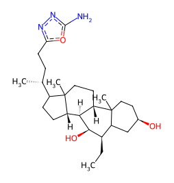 CC[C@@H]1C2C[C@H](O)CCC2(C)[C@H]2CCC3(C)C([C@H](C)CCc4nnc(N)o4)CC[C@H]3[C@@H]2[C@@H]1O